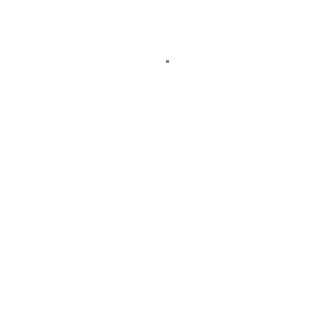 CC1(C)c2ccc(-c3c4ccccc4c(-c4cccc(-c5ccc6ccccc6c5)c4)c4ccccc34)cc2-c2cc3ccc4c5ccccc5sc4c3cc21